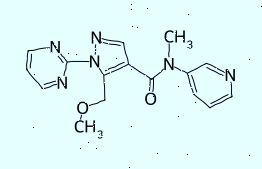 COCc1c(C(=O)N(C)c2cccnc2)cnn1-c1ncccn1